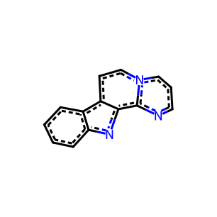 c1ccc2c3ccn4cccnc4c-3nc2c1